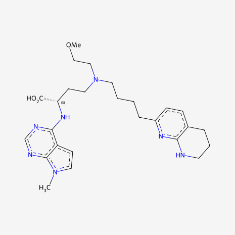 COCCN(CCCCc1ccc2c(n1)NCCC2)CC[C@H](Nc1ncnc2c1ccn2C)C(=O)O